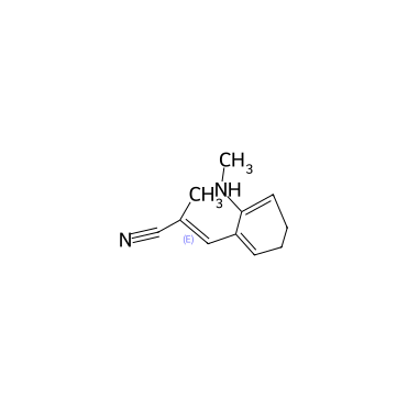 CNC1=CCCC=C1/C=C(\C)C#N